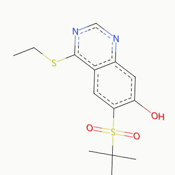 CCSc1ncnc2cc(O)c(S(=O)(=O)C(C)(C)C)cc12